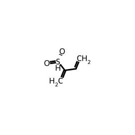 C=CC(=C)[SH](=O)=O